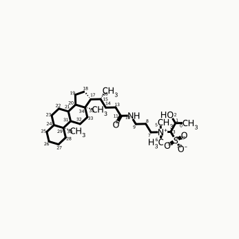 CC(O)C([N+](C)(C)CCCNC(=O)CC[C@@H](C)[C@H]1CCC2C3CCC4CCCC[C@]4(C)C3CC[C@@]21C)S(=O)(=O)[O-]